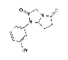 CC(C)c1cccc(N2C(=O)CN3C(=O)CCC32)c1